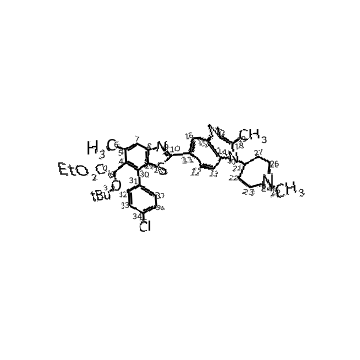 CCOC(=O)[C@@H](OC(C)(C)C)c1c(C)cc2nc(-c3ccc4c(c3)nc(C)n4C3CCN(C)CC3)sc2c1-c1ccc(Cl)cc1